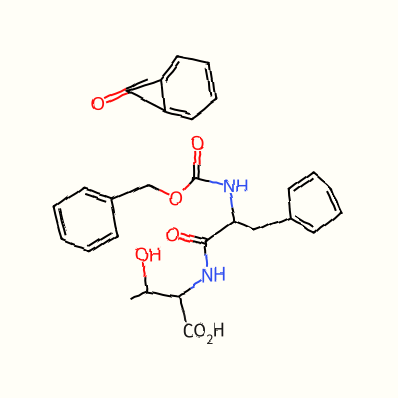 CC(O)C(NC(=O)C(Cc1ccccc1)NC(=O)OCc1ccccc1)C(=O)O.O=c1c2ccccc12